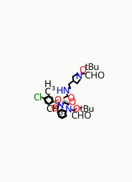 Cc1cc(S(=O)(=O)N2c3ccccc3N(C(C=O)OC(C)(C)C)C(=O)[C@H]2CC(=O)NCCC2CCN(C(C=O)OC(C)(C)C)CC2)c(C)cc1Cl